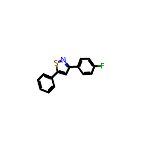 Fc1ccc(-c2cc(-c3ccccc3)sn2)cc1